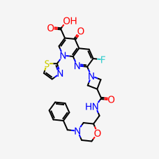 O=C(O)c1cn(-c2nccs2)c2nc(N3CC(C(=O)NCC4CN(Cc5ccccc5)CCO4)C3)c(F)cc2c1=O